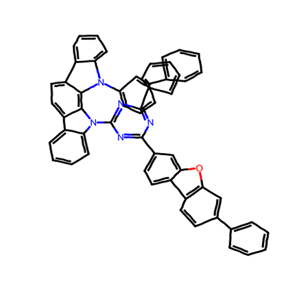 c1ccc(-c2cccc(-n3c4ccccc4c4ccc5c6ccccc6n(-c6nc(-c7ccccc7)nc(-c7ccc8c(c7)oc7cc(-c9ccccc9)ccc78)n6)c5c43)c2)cc1